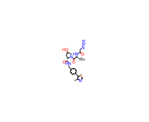 Cc1ncsc1-c1ccc(CNC(=O)[C@@H]2C[C@@H](O)CN2C(=O)[C@@H](NC(=O)CN=[N+]=[N-])C(C)(C)C)cc1